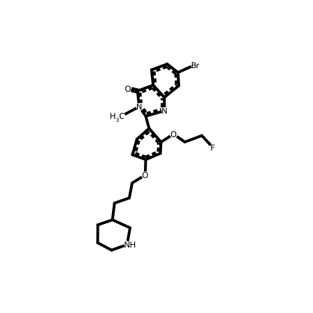 Cn1c(-c2ccc(OCCCC3CCCNC3)cc2OCCF)nc2cc(Br)ccc2c1=O